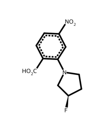 O=C(O)c1ccc([N+](=O)[O-])cc1N1CC[C@@H](F)C1